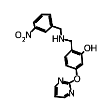 O=[N+]([O-])c1cccc(CNCc2ccc(Oc3ncccn3)cc2O)c1